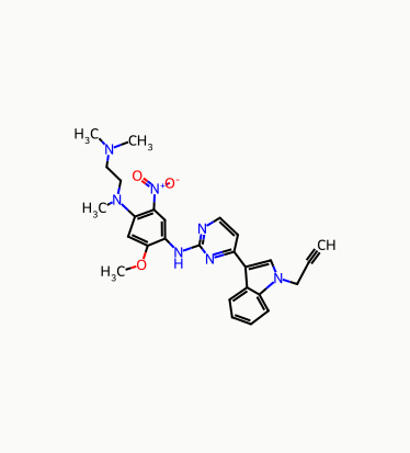 C#CCn1cc(-c2ccnc(Nc3cc([N+](=O)[O-])c(N(C)CCN(C)C)cc3OC)n2)c2ccccc21